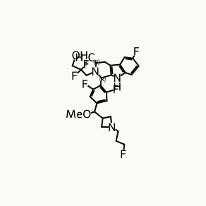 COC(c1cc(F)c([C@@H]2c3[nH]c4ccc(F)cc4c3C[C@@H](C)N2CC(F)(F)CO)c(F)c1)C1CN(CCCF)C1